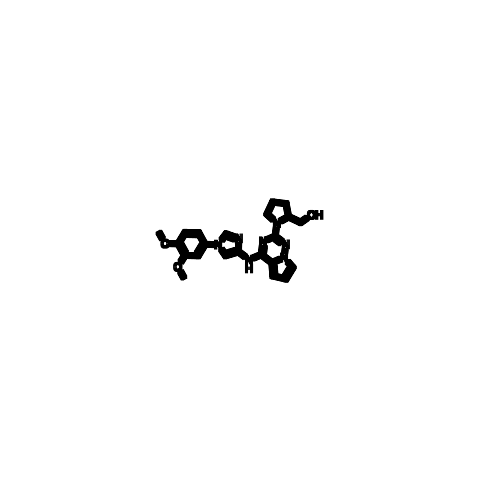 COc1ccc(-n2cnc(Nc3nc(N4CCCC4CO)nn4cccc34)c2)cc1OC